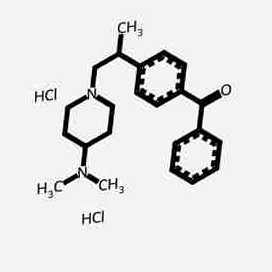 CC(CN1CCC(N(C)C)CC1)c1ccc(C(=O)c2ccccc2)cc1.Cl.Cl